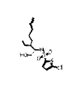 CCCCC[C@H](CC)[C@@H](CO)NS(=O)(=O)c1ccc(Cl)s1